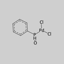 O=[PH](c1ccccc1)[Pd]([Cl])[Cl]